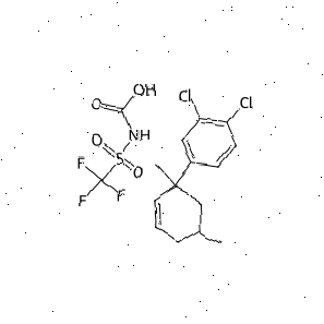 CC1CC=CC(C)(c2ccc(Cl)c(Cl)c2)C1.O=C(O)NS(=O)(=O)C(F)(F)F